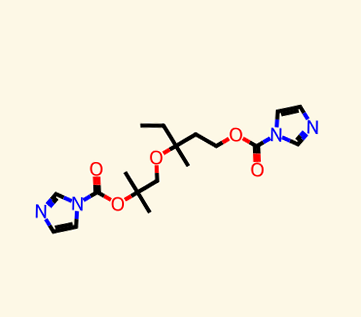 CCC(C)(CCOC(=O)n1ccnc1)OCC(C)(C)OC(=O)n1ccnc1